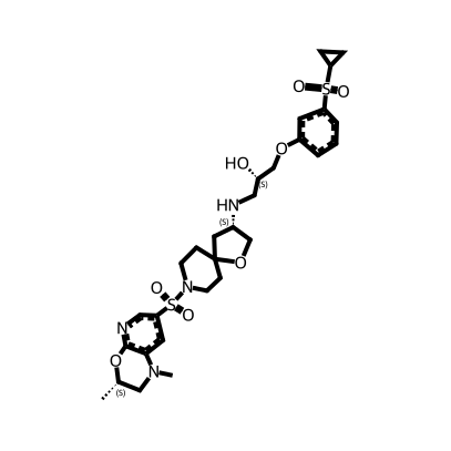 C[C@H]1CN(C)c2cc(S(=O)(=O)N3CCC4(CC3)C[C@H](NC[C@H](O)COc3cccc(S(=O)(=O)C5CC5)c3)CO4)cnc2O1